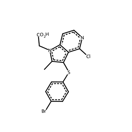 Cc1c(Sc2ccc(Br)cc2)c2c(Cl)nccc2n1CC(=O)O